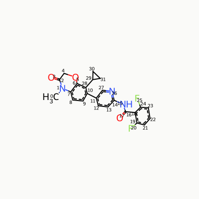 CN1C(=O)COc2c1ccc(-c1ccc(NC(=O)c3c(F)cccc3F)nc1)c2C1CC1